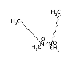 CCCCCCCCCCCC(=O)N(C)CCN(C)C(=O)CCCCCCCCCCC